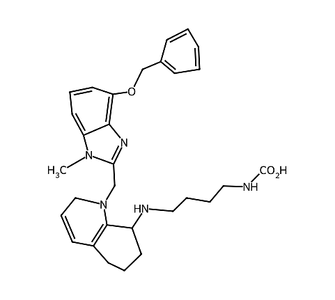 Cn1c(CN2CC=CC3=C2C(NCCCCNC(=O)O)CCC3)nc2c(OCc3ccccc3)cccc21